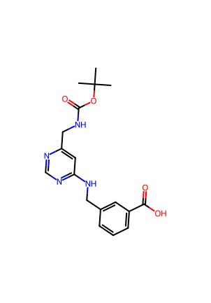 CC(C)(C)OC(=O)NCc1cc(NCc2cccc(C(=O)O)c2)ncn1